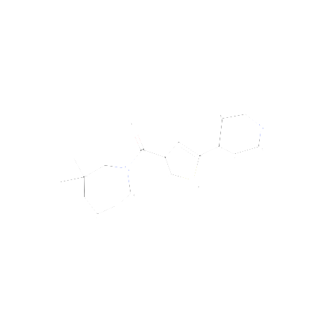 CC1(C)CCCCN(C(=O)C2C=C(C3CCNCC3)SC2)C1